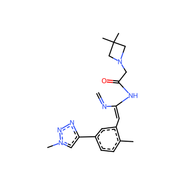 C=N/C(=C\c1cc(-c2cn(C)nn2)ccc1C)NC(=O)CN1CC(C)(C)C1